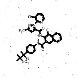 CCC(C)(c1ccc(NC(=O)c2cc3ccccc3c(Cl)c2NC(=O)c2cc(C(F)(F)F)nn2-c2ncccc2Cl)cc1)C(C)(C)[N+](=O)[O-]